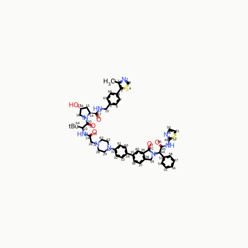 Cc1ncsc1-c1ccc(CNC(=O)[C@@H]2C[C@@H](O)CN2C(=O)C(NC(=O)CN2CCN(c3ccc(-c4ccc5c(c4)C(=O)N(C(C(=O)Nc4nccs4)c4ccccc4)C5)cc3)CC2)C(C)(C)C)cc1